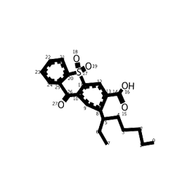 CCCCCC(CC)c1cc2c(cc1C(=O)O)S(=O)(=O)c1ccccc1C2=O